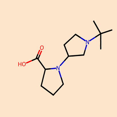 CC(C)(C)N1CCC(N2CCCC2C(=O)O)C1